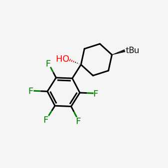 CC(C)(C)[C@H]1CC[C@@](O)(c2c(F)c(F)c(F)c(F)c2F)CC1